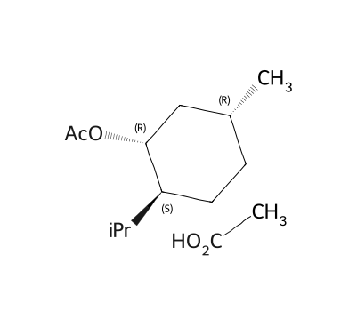 CC(=O)O.CC(=O)O[C@@H]1C[C@H](C)CC[C@H]1C(C)C